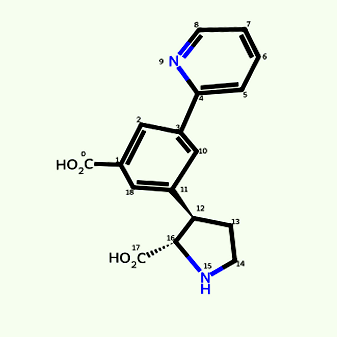 O=C(O)c1cc(-c2ccccn2)cc([C@H]2CCN[C@@H]2C(=O)O)c1